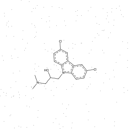 CN(C)CC(O)Cn1c2ccc(Cl)cc2c2cc(Cl)ccc21